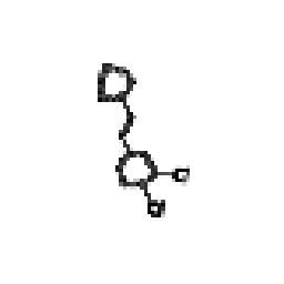 Clc1ccc(/C=C/c2ccccc2)cc1Cl